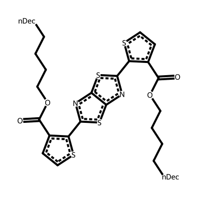 CCCCCCCCCCCCCCOC(=O)c1ccsc1-c1nc2sc(-c3sccc3C(=O)OCCCCCCCCCCCCCC)nc2s1